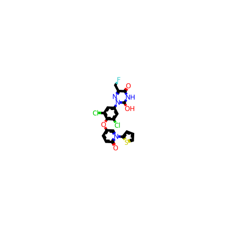 O=C1NC(O)N(c2cc(Cl)c(Oc3ccc(=O)n(-c4cccs4)c3)c(Cl)c2)N=C1CF